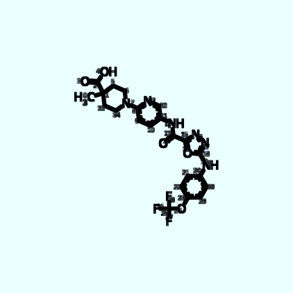 CC1(C(=O)O)CCN(c2ccc(NC(=O)c3nnc(Nc4ccc(OC(F)(F)F)cc4)o3)cn2)CC1